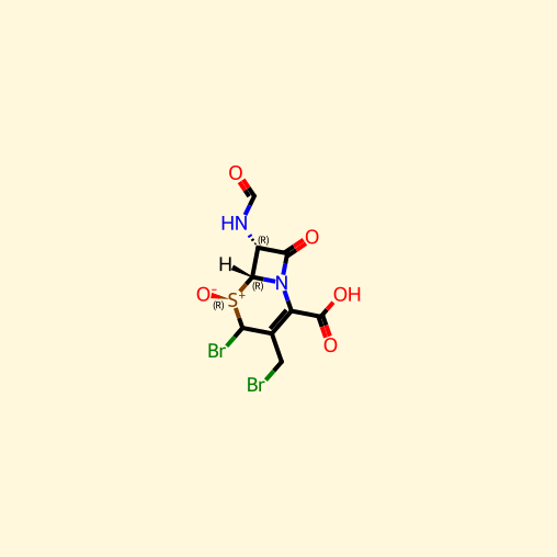 O=CN[C@@H]1C(=O)N2C(C(=O)O)=C(CBr)C(Br)[S@@+]([O-])[C@H]12